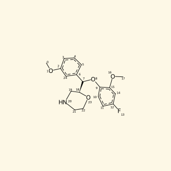 COc1cccc(C(Oc2ccc(F)cc2OC)[C@@H]2CNCCO2)c1